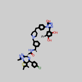 Cc1sc2c(c1C)C(c1ccc(Cl)cc1)=N[C@@H](CC(=O)N[C@H](C)c1cccc(CN3CCC(Cc4ccc(-n5c(O)nnc5-c5cc(C(C)C)c(O)cc5O)cc4)CC3)c1)c1nnc(C)n1-2